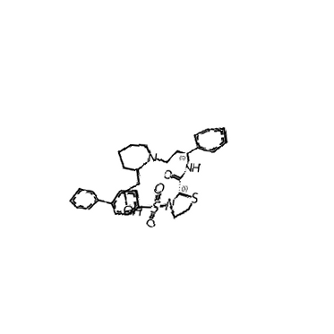 O=C(N[C@@H](CCN1CCCCC1CCO)c1ccccc1)[C@@H]1SCCN1S(=O)(=O)c1ccc(-c2ccccc2)cc1